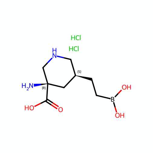 Cl.Cl.N[C@@]1(C(=O)O)CNC[C@@H](CCB(O)O)C1